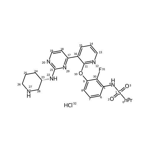 CCCS(=O)(=O)Nc1cccc(Oc2ncccc2-c2ccnc(N[C@H]3CCCNC3)n2)c1F.Cl